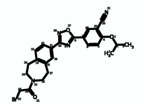 CC(C)Oc1ccc(-c2nc(-c3ccc4c(c3)CCN(C(=O)CBr)CC4)no2)cc1C#N